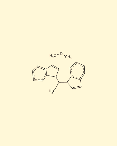 CC(C1C=Cc2ccccc21)C1C=Cc2ccccc21.[CH3][Zr][CH3]